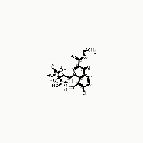 CCOC(=O)c1cn(CCC(O)(P(=O)(O)O)P(=O)(O)O)c2c(F)c(Cl)ccc2c1=O